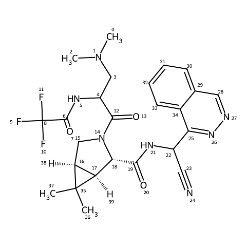 CN(C)CC(NC(=O)C(F)(F)F)C(=O)N1C[C@H]2[C@@H]([C@H]1C(=O)NC(C#N)c1nncc3ccccc13)C2(C)C